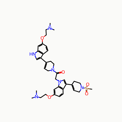 CN(C)CCOc1ccc2c(C3=CCN(C(=O)Cn4cc(C5=CCN(S(C)(=O)=O)CC5)c5ccc(OCCN(C)C)cc54)CC3)c[nH]c2c1